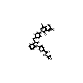 O=C(NC1COC1)c1ccc(-n2c(=O)n(CC3CCC(NC(=O)c4cc(Cl)cnc4C(F)F)CC3)c3ccccc32)cn1